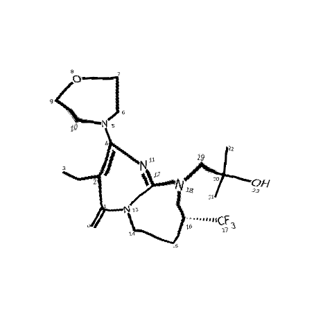 C=C1C(C)=C(N2CCOCC2)N=C2N1CC[C@@H](C(F)(F)F)N2CC(C)(C)O